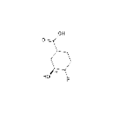 O=C(O)C1CCC(F)[C@@H](O)C1